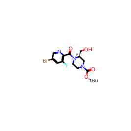 CC(C)(C)OC(=O)N1CCN(C(=O)c2ncc(Br)cc2F)[C@@H](CO)C1